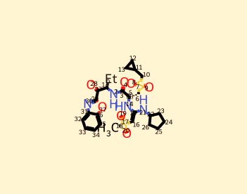 CCC(NC(=O)[C@H](CS(=O)(=O)CC1CC1)NC(=CS(C)(=O)=O)NC1CCCC1)C(=O)c1nc2ccccc2o1